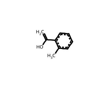 C=C(O)c1ccccc1C